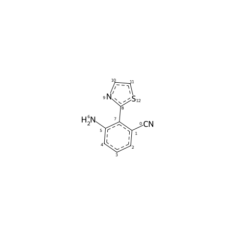 N#Cc1cccc(N)c1-c1nccs1